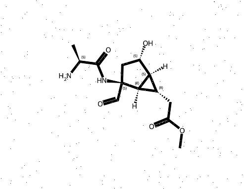 COC(=O)C[C@H]1[C@H]2[C@@H]1[C@@](C=O)(NC(=O)[C@H](C)N)C[C@@H]2O